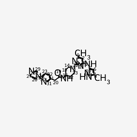 Cc1cc(Nc2cc(C)[nH]n2)nc(N2CCC(NC(=O)Cc3ccc(-n4ccnc4)nc3)CC2)n1